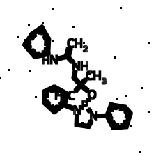 C=C(NCC(C)(C)OP1N(c2ccccc2)CCN1c1ccccc1)Nc1ccccc1